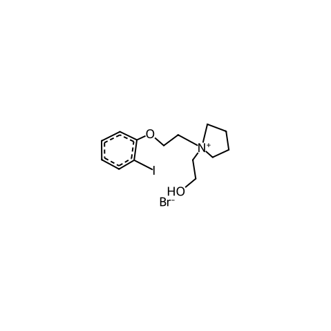 OCC[N+]1(CCOc2ccccc2I)CCCC1.[Br-]